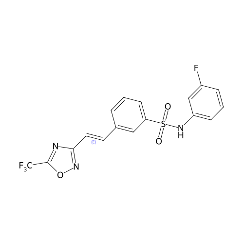 O=S(=O)(Nc1cccc(F)c1)c1cccc(/C=C/c2noc(C(F)(F)F)n2)c1